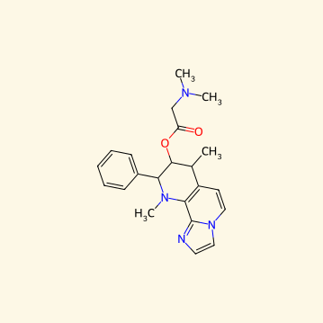 CC1c2ccn3ccnc3c2N(C)C(c2ccccc2)C1OC(=O)CN(C)C